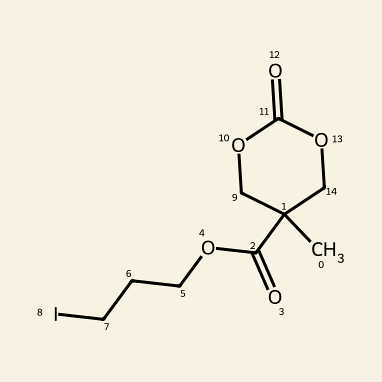 CC1(C(=O)OCCCI)COC(=O)OC1